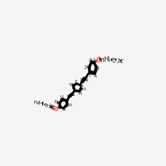 CCCCCCOc1ccc(C#Cc2ccc(C#Cc3ccc(OCCCCCC)cc3)cc2)cc1